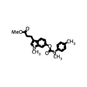 COC(=O)CCc1cn(C)c2cc(OC(=O)N(C)c3ccc(C)cc3)ccc12